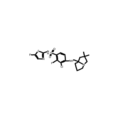 CC1(C)CN2CCCC2(CNc2ccc(S(=O)(=O)Nc3ncc(F)s3)c(F)c2Cl)C1